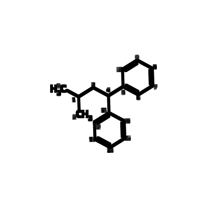 CC(C)CC(c1ccccc1)c1ccccc1